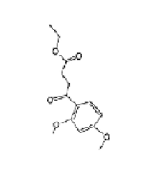 CCOC(=O)CCC(=O)c1ccc(OC)cc1OC